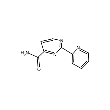 NC(=O)c1ccnc(-c2ccccn2)n1